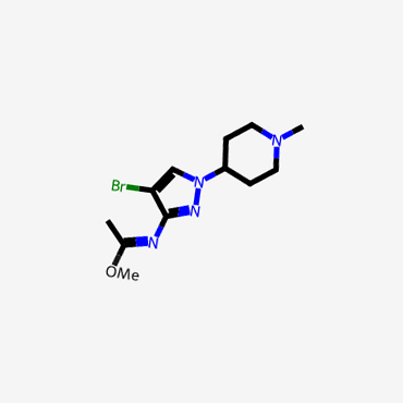 CO/C(C)=N/c1nn(C2CCN(C)CC2)cc1Br